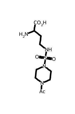 CC(=O)N1CCN(S(=O)(=O)NCCC(N)C(=O)O)CC1